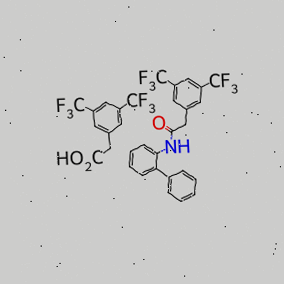 O=C(Cc1cc(C(F)(F)F)cc(C(F)(F)F)c1)Nc1ccccc1-c1ccccc1.O=C(O)Cc1cc(C(F)(F)F)cc(C(F)(F)F)c1